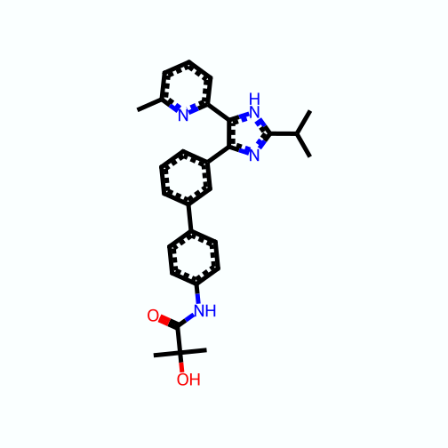 Cc1cccc(-c2[nH]c(C(C)C)nc2-c2cccc(-c3ccc(NC(=O)C(C)(C)O)cc3)c2)n1